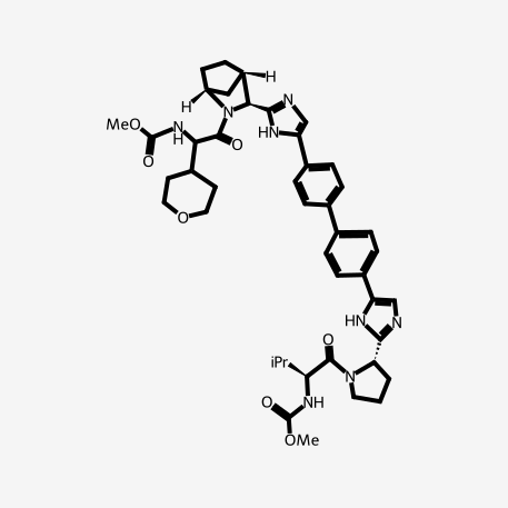 COC(=O)NC(C(=O)N1[C@@H]2CC[C@@H](C2)[C@H]1c1ncc(-c2ccc(-c3ccc(-c4cnc([C@@H]5CCCN5C(=O)[C@@H](NC(=O)OC)C(C)C)[nH]4)cc3)cc2)[nH]1)C1CCOCC1